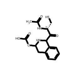 CC(=O)N[C@H](CS)C(=O)C1NC(OC(=O)O)Cc2ccccc21